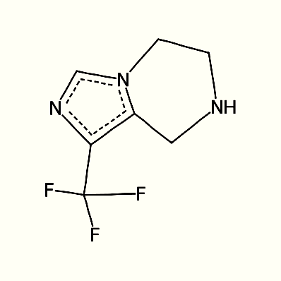 FC(F)(F)c1ncn2c1CNCC2